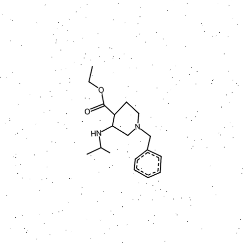 CCOC(=O)C1CCN(Cc2ccccc2)CC1NC(C)C